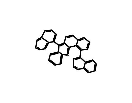 c1ccc2c(-c3c4ccccc4nc4c3ccc3cccc(-c5cccc6ccccc56)c34)cccc2c1